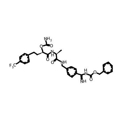 C[C@H](NC(=O)[C@@H](CCc1ccc(C(F)(F)F)cc1)OC(N)=O)C(=O)NCc1ccc(C(=N)NC(=O)OCc2ccccc2)cc1